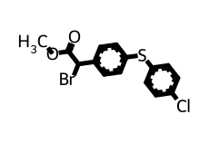 COC(=O)C(Br)c1ccc(Sc2ccc(Cl)cc2)cc1